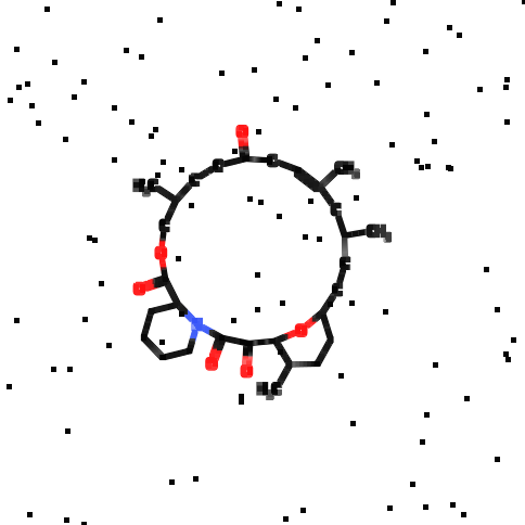 CC1=CCC(=O)CCC(C)COC(=O)C2CCCCN2C(=O)C(=O)C2OC(CCC(C)C1)CCC2C